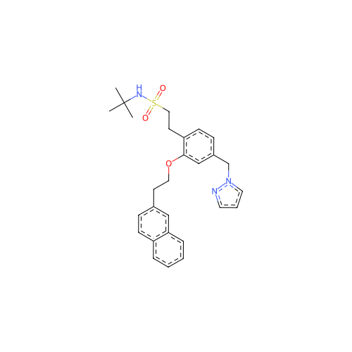 CC(C)(C)NS(=O)(=O)CCc1ccc(Cn2cccn2)cc1OCCc1ccc2ccccc2c1